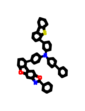 c1ccc(-c2ccc(N(c3ccc(-c4cccc5oc6cc7nc(-c8ccccc8)oc7cc6c45)cc3)c3cccc(-c4cccc5c4sc4ccccc45)c3)cc2)cc1